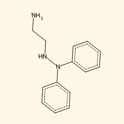 NCCNN(c1ccccc1)c1ccccc1